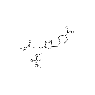 CC(=O)OCC(COS(C)(=O)=O)n1cc(Cc2ccc([N+](=O)[O-])cc2)nn1